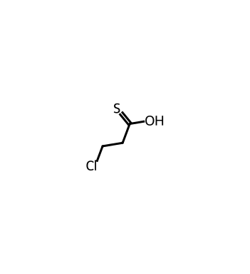 OC(=S)CCCl